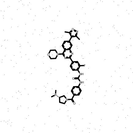 Cc1noc(C)c1-c1ccc2c(N3CCOCC3)nc(-c3ccc(NC(=O)Nc4ccc(C(=O)N5CC[C@H](N(C)C)C5)cc4)c(F)c3)nc2c1